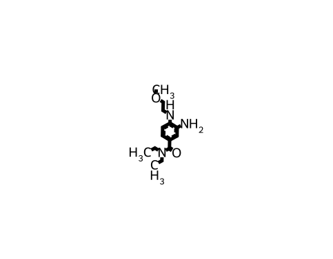 CCN(CC)C(=O)c1ccc(NCCOC)c(N)c1